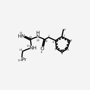 Cc1ccccc1CC(=O)NC(=N)NCC(C)C